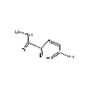 CCNC(=O)c1ccc(S)cc1